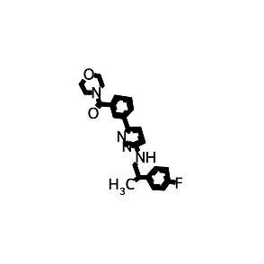 CC(CNc1ccc(-c2cccc(C(=O)N3CCOCC3)c2)nn1)c1ccc(F)cc1